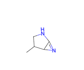 CC1CNC2=NC21